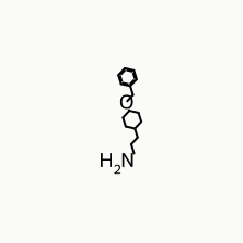 NCCCC1CCC(OCc2ccccc2)CC1